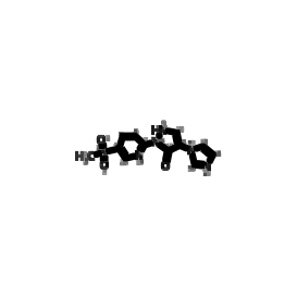 CS(=O)(=O)c1ccc(-n2[nH]cc(-n3ccnc3)c2=O)nc1